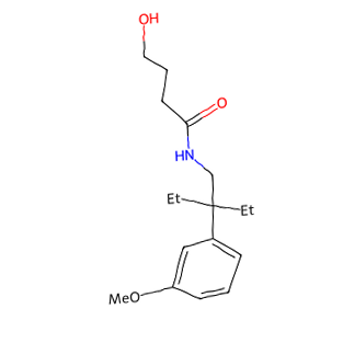 CCC(CC)(CNC(=O)CCCO)c1cccc(OC)c1